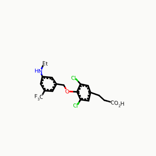 CCNc1cc(COc2c(Cl)cc(CCC(=O)O)cc2Cl)cc(C(F)(F)F)c1